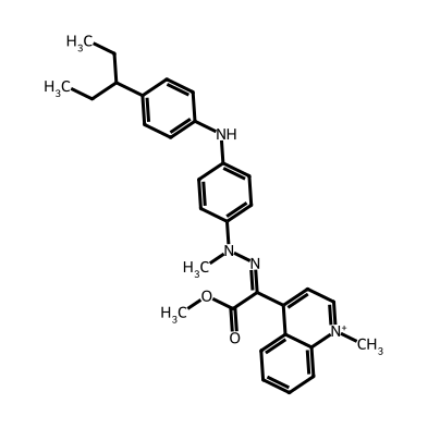 CCC(CC)c1ccc(Nc2ccc(N(C)/N=C(\C(=O)OC)c3cc[n+](C)c4ccccc34)cc2)cc1